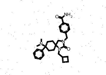 CN(C)C1(c2ccccc2)CCC2(CC1)CN(Cc1ccc(C(N)=O)cc1)C(=O)N2CC1CCC1